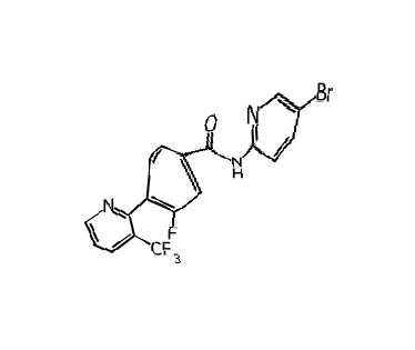 O=C(Nc1ccc(Br)cn1)c1ccc(-c2ncccc2C(F)(F)F)c(F)c1